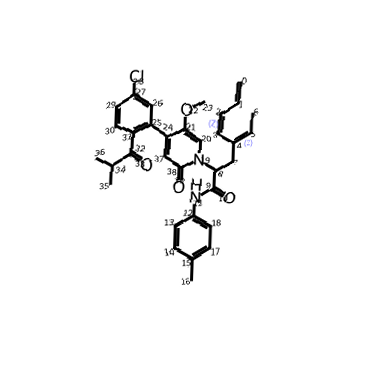 C=C/C=C\C(=C/C)CC(C(=O)Nc1ccc(C)cc1)n1cc(OC)c(-c2cc(Cl)ccc2C(=O)C(C)C)cc1=O